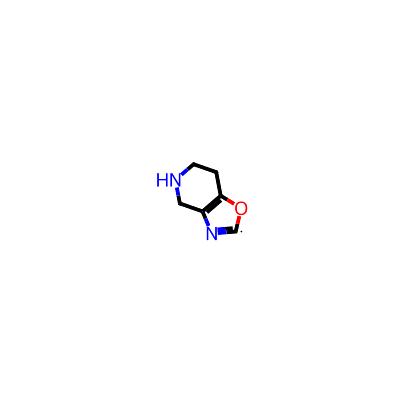 [c]1nc2c(o1)CCNC2